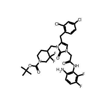 CC(C)(C)OC(=O)N1CCC(Cn2c(Cc3ccc(Cl)cc3Cl)cn(CC(=O)Nc3c(N)ccc(F)c3F)c2=O)C(F)(F)C1